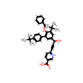 CC(C)(C)c1ccc(-c2cc(C(O)C#Cc3ccc(C(=O)O)cn3)cc(C(C)(C)C)c2OCc2ccccc2)cc1